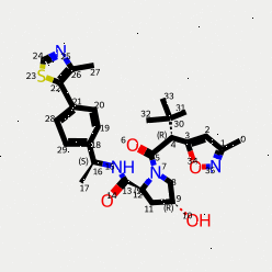 Cc1cc([C@H](C(=O)N2C[C@H](O)C[C@H]2C(=O)N[C@@H](C)c2ccc(-c3scnc3C)cc2)C(C)(C)C)on1